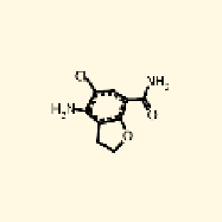 NC(=O)c1cc(Cl)c(N)c2c1OCC2